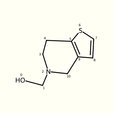 OCN1CCc2sccc2C1